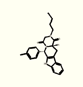 CCCCN1CC(=O)N2[C@@H](c3ccc(C)cc3)c3[nH]c4ccccc4c3C[C@H]2C1=O